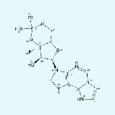 B[PH]1(O)OCC2O[C@@H](N3CNC4=C3N=CN3C=CNC43)[C@@H](O)[C@H]2O1